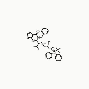 CC(C)[C@@H](NC[C@H](F)CO[Si](c1ccccc1)(c1ccccc1)C(C)(C)C)c1nc2sccc2c(=O)n1Cc1ccccc1